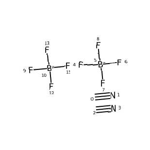 C#N.C#N.F[B-](F)(F)F.F[B-](F)(F)F